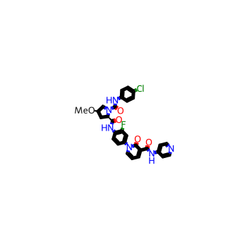 CO[C@@H]1C[C@H](C(=O)Nc2ccc(-n3cccc(C(=O)Nc4ccncc4)c3=O)cc2F)N(C(=O)Nc2ccc(Cl)cc2)C1